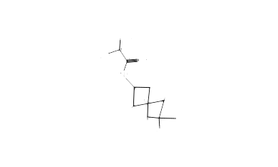 CC(C)C(=O)NC1CC2(C1)CC(F)(F)C2